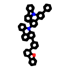 C1=CC2c3ccccc3OC2C(c2cccc(-c3ccc(N(c4ccc(-c5ccc(-c6ccccc6)cc5-n5c6ccccc6c6ccccc65)cc4)c4ccccc4-c4ccccc4)cc3)c2)=C1